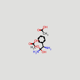 CC(=O)O.CC(=O)O.NC(c1ccccc1)C(N)(O)O